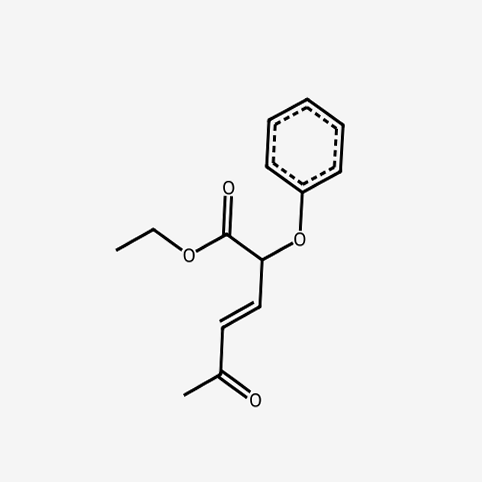 CCOC(=O)C(C=CC(C)=O)Oc1ccccc1